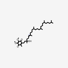 COC1=C(OC)C(=O)C(CCC(C)(O)CC/C=C(\C)CCCC(C)CCCC(C)CCCC(C)CCCC(C)C)=C(C)C1=O